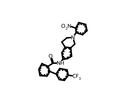 O=C(Nc1ccc2c(c1)CCN(c1ccccc1[N+](=O)[O-])C2)c1ccccc1-c1ccc(C(F)(F)F)cc1